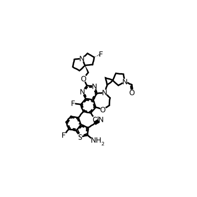 N#Cc1c(N)sc2c(F)ccc(-c3c(Cl)c4c5c(nc(OC[C@@]67CCCN6C[C@H](F)C7)nc5c3F)N(C3CC35CCN(C=O)C5)CCO4)c12